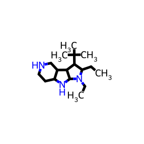 CCC1C(C(C)(C)C)C2C3CNCCC3NC2N1CC